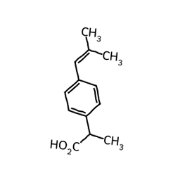 CC(C)=Cc1ccc(C(C)C(=O)O)cc1